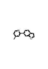 Cc1ccnc(-c2ccc3ccoc3c2)c1